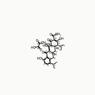 CN(C)c1ccc(O)c2c1C[C@H]1C[C@@H]3[C@H](N(C)C)C(O)=C(C(N)=O)C(=O)[C@@]3(O)C(O)=C1C2=O.O=C(O)C(=O)O